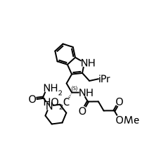 COC(=O)CCC(=O)N[C@@H](Cc1c(CC(C)C)[nH]c2ccccc12)C(=O)O.NC(=O)N1CCCCC1